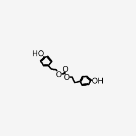 O=C(OCCc1ccc(O)cc1)OCCc1ccc(O)cc1